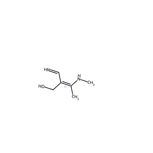 CN/C(C)=C(\C=N)CO